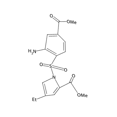 CCc1cc(C(=O)OC)n(S(=O)(=O)c2ccc(C(=O)OC)cc2N)c1